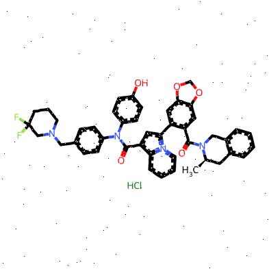 C[C@@H]1Cc2ccccc2CN1C(=O)c1cc2c(cc1-c1cc(C(=O)N(c3ccc(O)cc3)c3ccc(CN4CCCC(F)(F)C4)cc3)c3ccccn13)OCO2.Cl